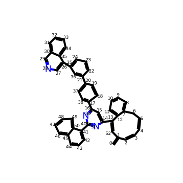 C=C1/C=C\C=C/Cc2ccccc2/C(c2cc(-c3ccc(-c4cccc(-c5cncc6ccccc56)c4)cc3)nc(-c3cccc4ccccc34)n2)=C\1